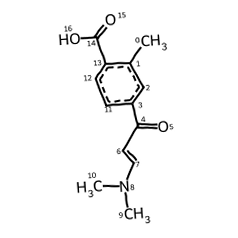 Cc1cc(C(=O)C=CN(C)C)ccc1C(=O)O